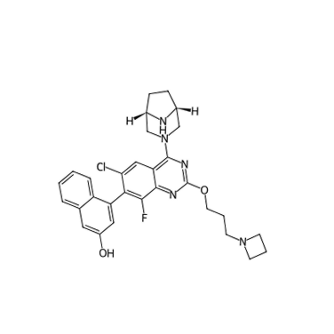 Oc1cc(-c2c(Cl)cc3c(N4C[C@H]5CC[C@@H](C4)N5)nc(OCCCN4CCC4)nc3c2F)c2ccccc2c1